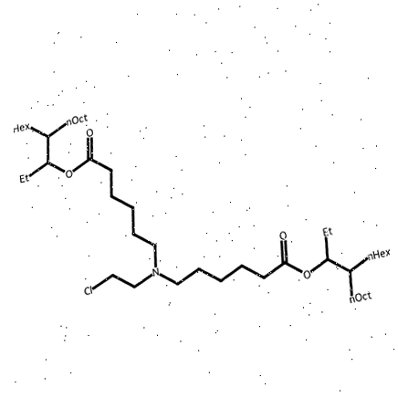 CCCCCCCCC(CCCCCC)C(CC)OC(=O)CCCCCN(CCCl)CCCCCC(=O)OC(CC)C(CCCCCC)CCCCCCCC